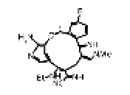 CCN/C1=C(\C(=N)C#N)C/C(=C/NC)C(=N)c2ccc(F)cc2[C@@H](C)Oc2cc1cnc2N